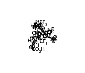 CC(C)(C#Cc1ccc(-c2ccc(Cl)c3c(CS(=O)(=O)NC(=O)CNC(=O)C(=O)O)nn(CC(F)(F)F)c23)c([C@H](Cc2cc(F)cc(F)c2)NC(=O)Cn2nc(C(F)(F)F)c3c2C(F)(F)[C@@H]2C[C@H]32)n1)S(C)(=O)=O